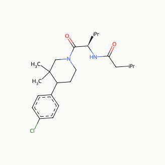 CC(C)CC(=O)N[C@@H](C(=O)N1CCC(c2ccc(Cl)cc2)C(C)(C)C1)C(C)C